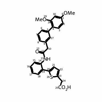 COc1ccc(-c2cccc(CC(=O)Nc3ccccc3-c3ccc(CC(=O)O)s3)c2)c(OC)c1